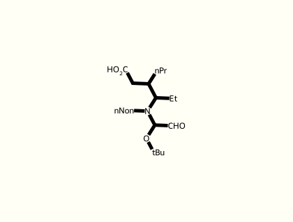 CCCCCCCCCN(C(C=O)OC(C)(C)C)C(CC)C(CCC)CC(=O)O